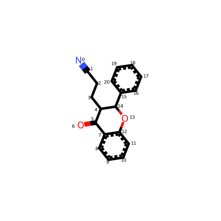 N#CCCC1C(=O)c2ccccc2OC1c1ccccc1